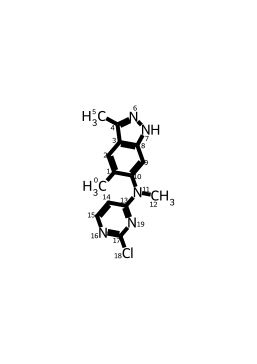 Cc1cc2c(C)n[nH]c2cc1N(C)c1ccnc(Cl)n1